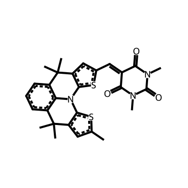 Cc1cc2c(s1)N1c3sc(C=C4C(=O)N(C)C(=O)N(C)C4=O)cc3C(C)(C)c3cccc(c31)C2(C)C